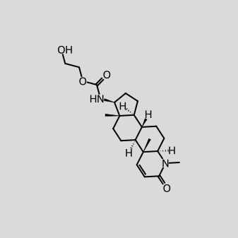 CN1C(=O)C=C[C@]2(C)[C@H]3CC[C@]4(C)[C@@H](NC(=O)OCCO)CC[C@H]4[C@@H]3CC[C@@H]12